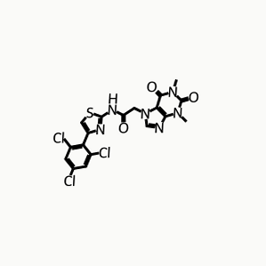 Cn1c(=O)c2c(ncn2CC(=O)Nc2nc(-c3c(Cl)cc(Cl)cc3Cl)cs2)n(C)c1=O